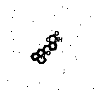 O=C1COc2c(Cc3cc4cccc5c4n(c3=O)CCC5)cccc2N1